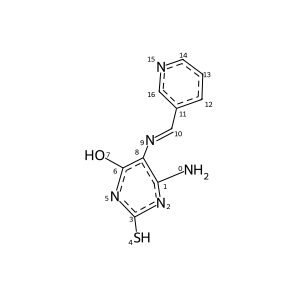 Nc1nc(S)nc(O)c1N=Cc1cccnc1